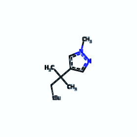 Cn1cc(C(C)(C)CC(C)(C)C)cn1